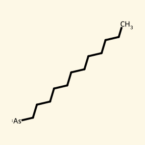 CCCCCCCCCCCC[As]